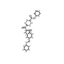 O=C(Oc1cccnc1)N1CCN(C(=O)c2cc3cc(OCc4ccccc4)ccc3[nH]2)CC1